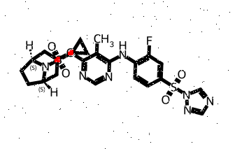 Cc1c(Nc2ccc(S(=O)(=O)n3cncn3)cc2F)ncnc1OC1C[C@@H]2CC[C@@H](C1)N2S(=O)(=O)C1CC1